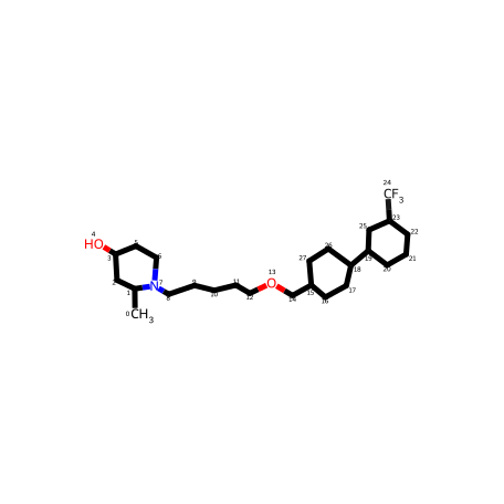 CC1CC(O)CCN1CCCCCOCC1CCC(C2CCCC(C(F)(F)F)C2)CC1